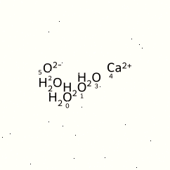 O.O.O.O.[Ca+2].[O-2]